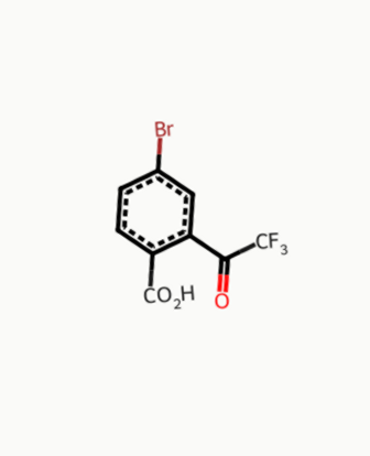 O=C(O)c1ccc(Br)cc1C(=O)C(F)(F)F